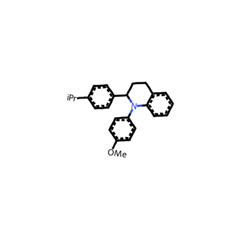 COc1ccc(N2c3ccccc3CCC2c2ccc(C(C)C)cc2)cc1